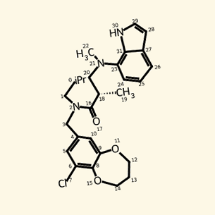 CC(C)CN(Cc1cc(Cl)c2c(c1)OCCCO2)C(=O)[C@@H](C)CN(C)c1cccc2cc[nH]c12